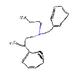 C=C(CCN(CCOC)Cc1ccccc1)c1ccccc1